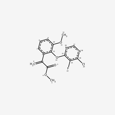 C=C(C(=O)OC)c1cccc(OC)c1Oc1ncnc(Cl)c1F